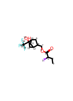 CCC(I)C(=O)OCC1CC2CC1CC2(O)C(F)(F)F